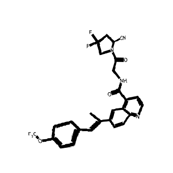 C/C(=C\c1ccc(OC(F)(F)F)cc1)c1ccc2nccc(C(=O)NCC(=O)N3CC(F)(F)C[C@H]3C#N)c2c1